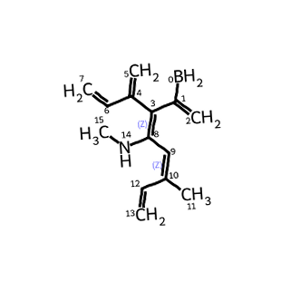 BC(=C)/C(C(=C)C=C)=C(\C=C(\C)C=C)NC